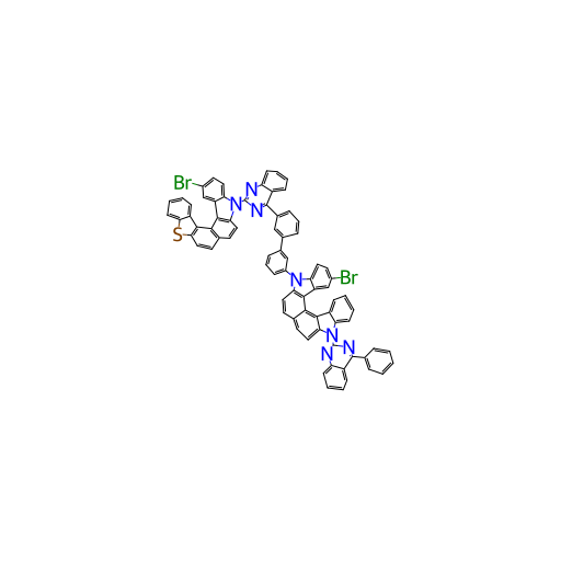 Brc1ccc2c(c1)c1c3c(ccc4sc5ccccc5c43)ccc1n2-c1nc(-c2cccc(-c3cccc(-n4c5ccc(Br)cc5c5c6c(ccc54)ccc4c6c5ccccc5n4-c4nc(-c5ccccc5)c5ccccc5n4)c3)c2)c2ccccc2n1